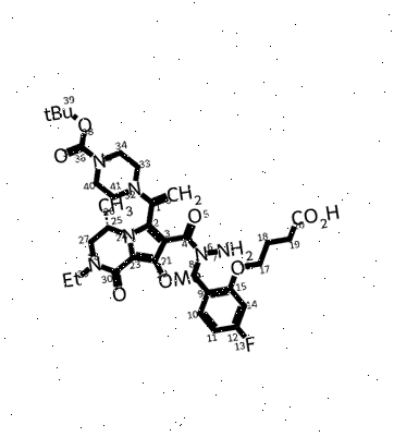 C=C(c1c(C(=O)N(N)Cc2ccc(F)cc2OCCCC(=O)O)c(OC)c2n1[C@@H](C)CN(CC)C2=O)N1CCN(C(=O)OC(C)(C)C)CC1